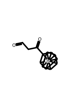 O=CCC(=O)[C]12[CH]3[CH]4[CH]5[CH]1[Os]45321678[CH]2[CH]1[CH]6[CH]7[CH]28